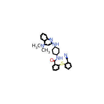 CN(C)c1cc(NC2CCC(NC(=O)c3ccccc3Sc3ccccc3C#N)CC2)nc2ccccc12